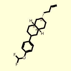 C=CCC[C@@H]1CC[C@@H]2CC(c3ccc(OC(F)F)cc3)CC[C@@H]2C1